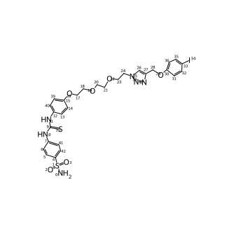 NS(=O)(=O)c1ccc(NC(=S)Nc2ccc(OCCOCCOCCn3cc(COc4ccc(I)cc4)nn3)cc2)cc1